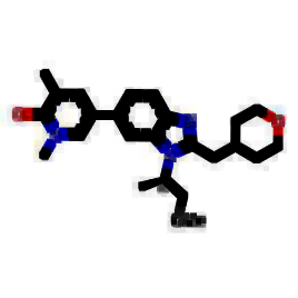 COC[C@@H](C)n1c(CC2CCOCC2)nc2ccc(-c3cc(C)c(=O)n(C)c3)cc21